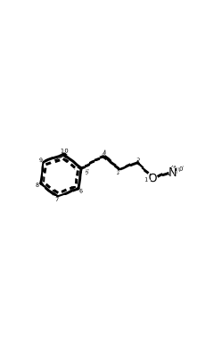 [N]OCCCc1ccccc1